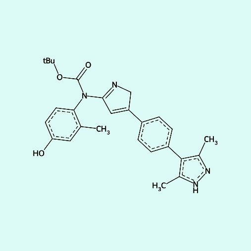 Cc1cc(O)ccc1N(C(=O)OC(C)(C)C)C1=NCC(c2ccc(-c3c(C)n[nH]c3C)cc2)=C1